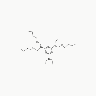 CCCCOCN(CC)c1nc(N(CC)CC)nc(N(COCCCC)COCCCC)n1